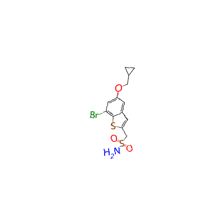 NS(=O)(=O)Cc1cc2cc(OCC3CC3)cc(Br)c2s1